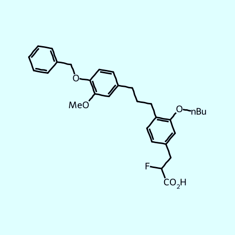 CCCCOc1cc(CC(F)C(=O)O)ccc1CCCc1ccc(OCc2ccccc2)c(OC)c1